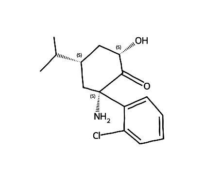 CC(C)[C@@H]1C[C@H](O)C(=O)[C@@](N)(c2ccccc2Cl)C1